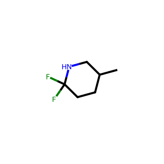 CC1CCC(F)(F)NC1